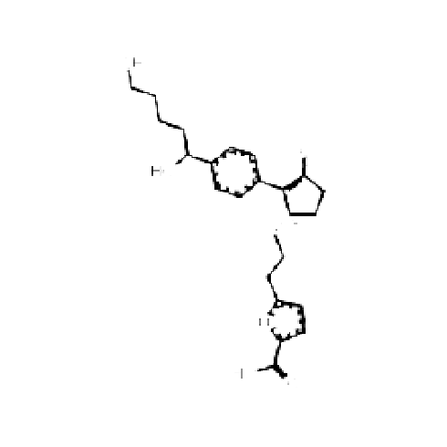 CCCCCC(O)c1ccc(C2=C(Cl)CC[C@@H]2CCCc2ccc(C(=O)O)o2)cc1